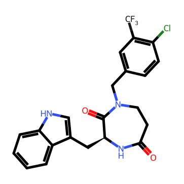 O=C1CCN(Cc2ccc(Cl)c(C(F)(F)F)c2)C(=O)[C@H](Cc2c[nH]c3ccccc23)N1